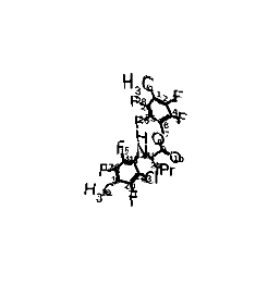 Cc1c(F)c(F)c(COC(=O)C(Nc2c(F)c(F)c(C)c(F)c2Cl)C(C)C)c(F)c1F